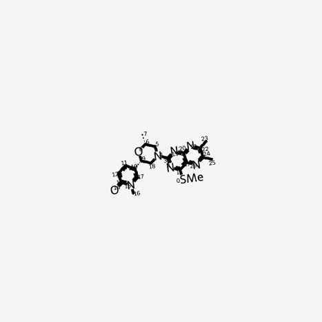 CSc1nc(N2C[C@@H](C)O[C@@H](c3ccc(=O)n(C)c3)C2)nc2nc(C)c(C)nc12